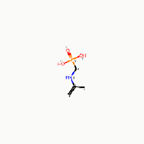 C=C(C)NCP(=O)(O)O